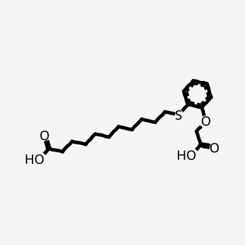 O=C(O)CCCCCCCCCCSc1ccccc1OCC(=O)O